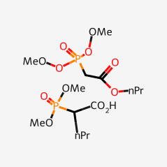 CCCC(C(=O)O)P(=O)(OC)OC.CCCOC(=O)CP(=O)(OOC)OOC